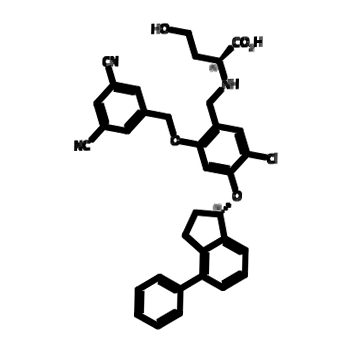 N#Cc1cc(C#N)cc(COc2cc(O[C@H]3CCc4c(-c5ccccc5)cccc43)c(Cl)cc2CN[C@@H](CCO)C(=O)O)c1